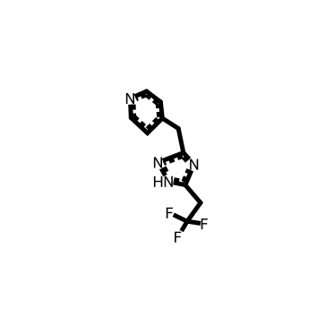 FC(F)(F)Cc1nc(Cc2ccncc2)n[nH]1